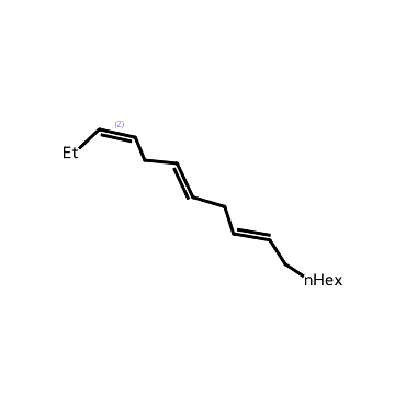 CC/C=C\CC=CCC=CCCCCCCC